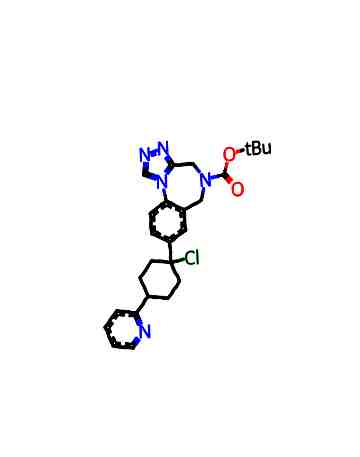 CC(C)(C)OC(=O)N1Cc2cc(C3(Cl)CCC(c4ccccn4)CC3)ccc2-n2cnnc2C1